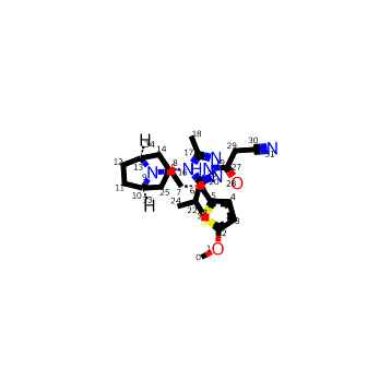 COc1ccc([C@H](CCN2[C@@H]3CC[C@H]2C[C@H](n2c(C)nnc2C(C)C)C3)NC(=O)CC#N)s1